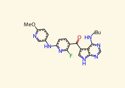 CCC(C)Nc1ncnc2[nH]cc(C(=O)c3ccc(Nc4ccc(OC)nc4)nc3F)c12